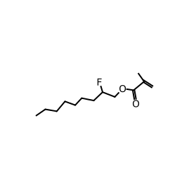 C=C(C)C(=O)OCC(F)CCCCCCC